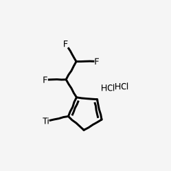 Cl.Cl.FC(F)C(F)C1=[C]([Ti])CC=C1